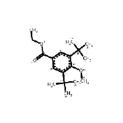 CCOC(=O)c1cc(C(C)(C)C)c(OC)c(C(C)(C)C)c1